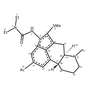 CCN(CC)C(=O)Nn1c(SC)c2c3c(cc(C(C)=O)cc31)[C@H]1CCCN(C)[C@@H]1C2